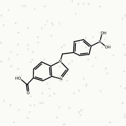 O=C(O)c1ccc2c(c1)ncn2Cc1ccc(B(O)O)cc1